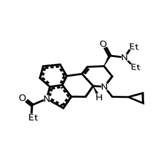 CCC(=O)n1cc2c3c(cccc31)C1=C[C@@H](C(=O)N(CC)CC)CN(CC3CC3)[C@@H]1C2